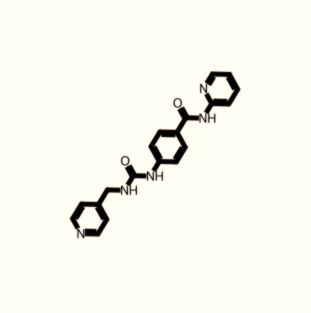 O=C(NCc1ccncc1)Nc1ccc(C(=O)Nc2ccccn2)cc1